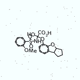 COc1ccccc1S(=O)(=O)NC(O)(Oc1cccc2c1OC1CCCC21)C(=O)O